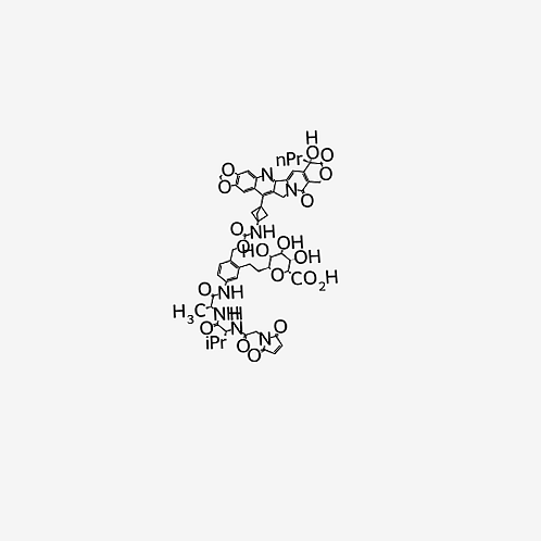 CCC[C@@]1(O)C(=O)OCc2c1cc1n(c2=O)Cc2c-1nc1cc3c(cc1c2C12CC(NC(=O)OCc4ccc(NC(=O)[C@H](C)NC(=O)[C@@H](NC(=O)CN5C(=O)C=CC5=O)C(C)C)cc4CC[C@@H]4O[C@H](C(=O)O)[C@@H](O)[C@H](O)[C@H]4O)(C1)C2)OCO3